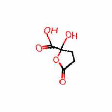 O=C1CCC(O)(C(=O)O)O1